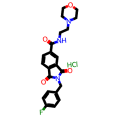 Cl.O=C(NCCN1CCOCC1)c1ccc2c(c1)C(=O)N(Cc1ccc(F)cc1)C2=O